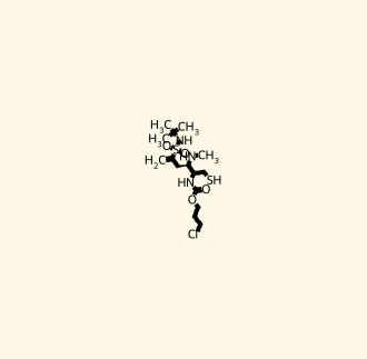 C=C(C[C@@H](NC)C(CS)NC(=O)OCCCCl)S(=O)(=O)NC(C)(C)C